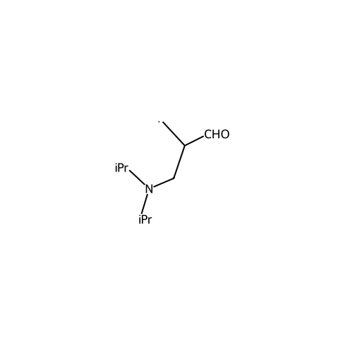 [CH2]C(C=O)CN(C(C)C)C(C)C